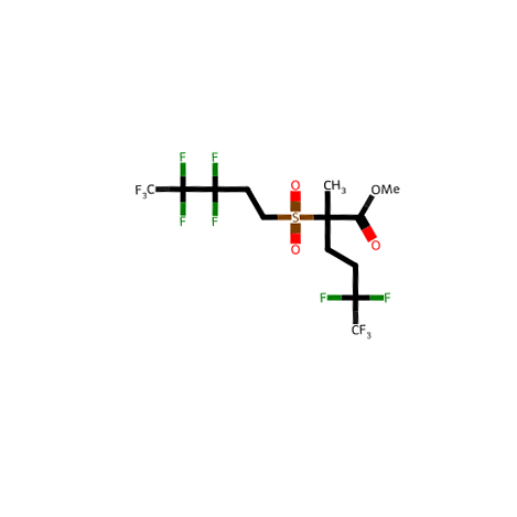 COC(=O)C(C)(CCC(F)(F)C(F)(F)F)S(=O)(=O)CCC(F)(F)C(F)(F)C(F)(F)F